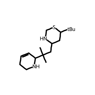 CC(C)(C)C1CC(CC(C)(C)C2C=CCCN2)NCS1